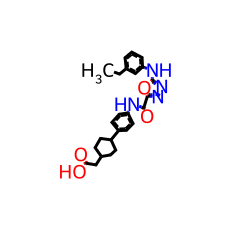 CCc1cccc(Nc2nnc(C(=O)Nc3ccc(C4CCC(CC(=O)O)CC4)cc3)o2)c1